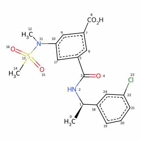 C[C@@H](NC(=O)c1cc(C(=O)O)cc(N(C)S(C)(=O)=O)c1)c1cccc(Cl)c1